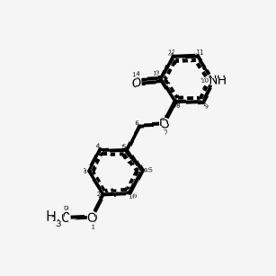 COc1ccc(COc2c[nH]ccc2=O)cc1